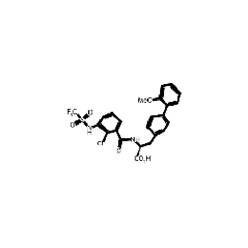 COc1ccccc1-c1ccc(C[C@H](NC(=O)c2cccc(NS(=O)(=O)C(F)(F)F)c2Cl)C(=O)O)cc1